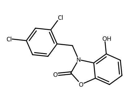 O=c1oc2cccc(O)c2n1Cc1ccc(Cl)cc1Cl